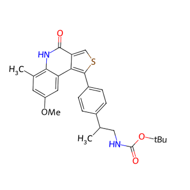 COc1cc(C)c2[nH]c(=O)c3csc(-c4ccc(C(C)CNC(=O)OC(C)(C)C)cc4)c3c2c1